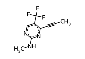 CC#Cc1nc(NC)ncc1C(F)(F)F